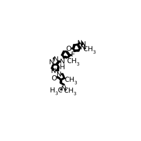 Cc1c(Nc2ncnc3cnc(N4C[C@@H](C)/C(=C\CN(C)C)C4=O)cc23)ccc(Oc2ccc3c(c2)nnn3C)c1F